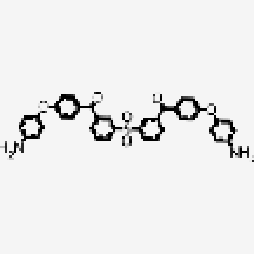 Nc1ccc(Oc2ccc(C(=O)c3cccc(S(=O)(=O)c4cccc(C(=O)c5ccc(Oc6ccc(N)cc6)cc5)c4)c3)cc2)cc1